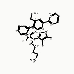 CNCc1cc(-c2ncccn2)ccc1-c1ccccc1S(=O)(=O)N(COCCOC)c1noc(C)c1C